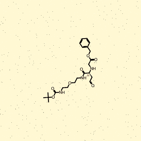 CC(C)(C)OC(=O)NCCOCCNC(=O)[C@H](CC=O)NCC(=O)OCc1ccccc1